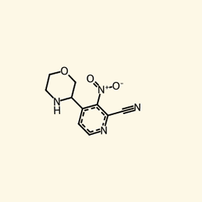 N#Cc1nccc(C2COCCN2)c1[N+](=O)[O-]